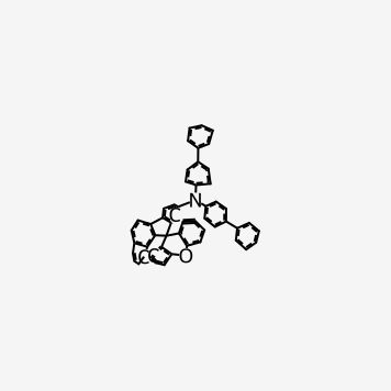 c1ccc2c(c#1)C1(c3ccccc3O2)c2cc(N(c3ccc(-c4ccccc4)cc3)c3ccc(-c4ccccc4)cc3)ccc2-c2ccc3c(c21)CCC=C3